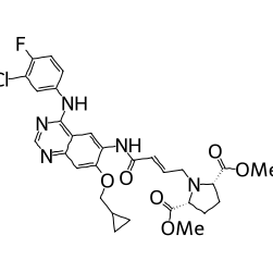 COC(=O)[C@H]1CC[C@@H](C(=O)OC)N1CC=CC(=O)Nc1cc2c(Nc3ccc(F)c(Cl)c3)ncnc2cc1OCC1CC1